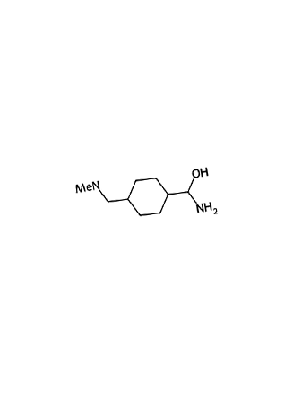 CNCC1CCC(C(N)O)CC1